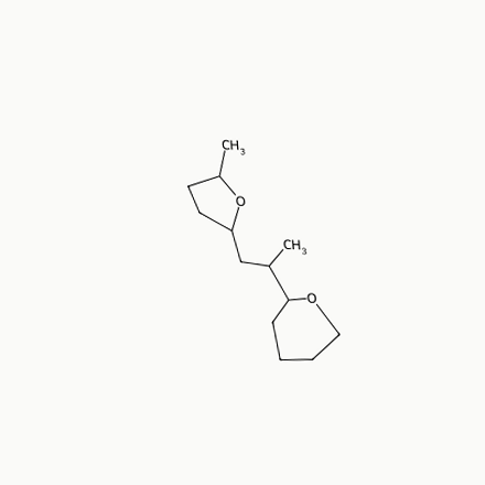 CC1CCC(CC(C)C2CCCCO2)O1